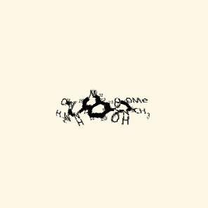 COC(=O)[C@@H](C)NS(=O)(=O)c1ccc2c(NC(N)=NCl)cncc2c1